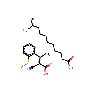 CC(C)CCCCCCCCC(=O)O.CSc1ccccc1/C(C)=C(\C#N)C(=O)O